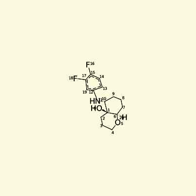 O[C@]12CCCO[C@@H]1CCC[C@H]2Nc1ccc(F)c(F)c1